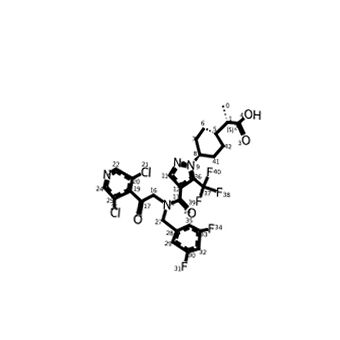 C[C@H](C(=O)O)[C@H]1CC[C@H](n2ncc(C(=O)N(CC(=O)c3c(Cl)cncc3Cl)Cc3cc(F)cc(F)c3)c2C(F)(F)F)CC1